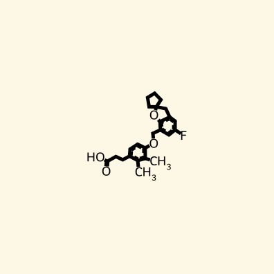 Cc1c(CCC(=O)O)ccc(OCc2cc(F)cc3c2OC2(CCCC2)C3)c1C